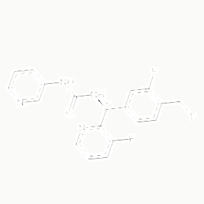 O=C(Nc1cccnc1)N[C@@H](c1ccc(CF)c(F)c1)c1ncccc1F